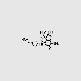 CC1(C)CCc2c(N)c(Cl)cc(C(=O)NC3CCN(CCC#N)CC3)c2O1